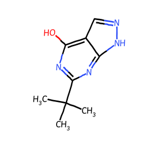 CC(C)(C)c1nc(O)c2cn[nH]c2n1